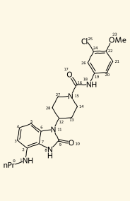 CCCNc1cccc2c1[nH]c(=O)n2C1CCN(C(=O)Nc2ccc(OC)c(Cl)c2)CC1